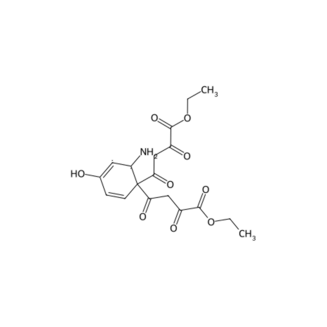 CCOC(=O)C(=O)CC(=O)C1(C(=O)CC(=O)C(=O)OCC)C=CC(O)=[C][C]1N